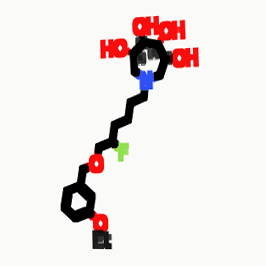 CCOc1cccc(COCC(F)CCCCN2C[C@H](O)[C@@H](O)[C@H](O)[C@@H](O)C2)c1